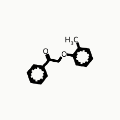 Cc1ccccc1OCC(=O)c1ccccc1